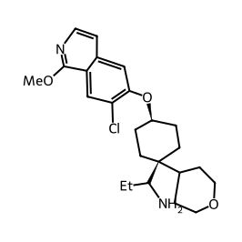 CCC(N)[C@]1(C2CCOCC2)CC[C@H](Oc2cc3ccnc(OC)c3cc2Cl)CC1